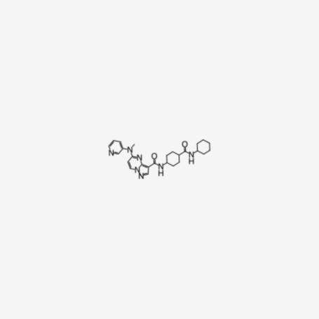 CN(c1cccnc1)c1ccn2ncc(C(=O)NC3CCC(C(=O)NC4CCCCC4)CC3)c2n1